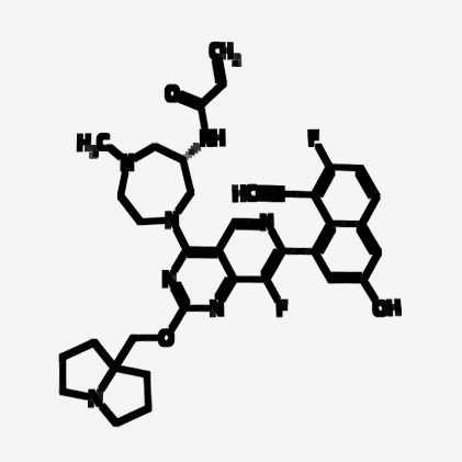 C#Cc1c(F)ccc2cc(O)cc(-c3ncc4c(N5CCN(C)C[C@H](NC(=O)C=C)C5)nc(OCC56CCCN5CCC6)nc4c3F)c12